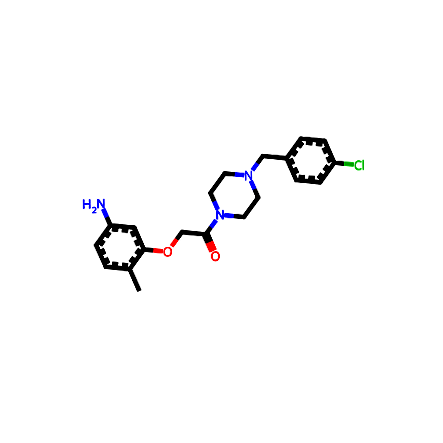 Cc1ccc(N)cc1OCC(=O)N1CCN(Cc2ccc(Cl)cc2)CC1